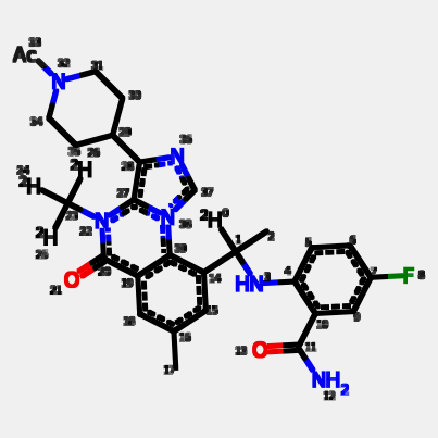 [2H]C(C)(Nc1ccc(F)cc1C(N)=O)c1cc(C)cc2c(=O)n(C([2H])([2H])[2H])c3c(C4CCN(C(C)=O)CC4)ncn3c12